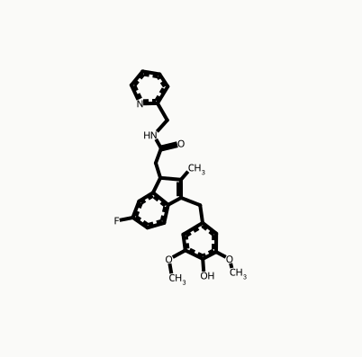 COc1cc(CC2=C(C)C(CC(=O)NCc3ccccn3)c3cc(F)ccc32)cc(OC)c1O